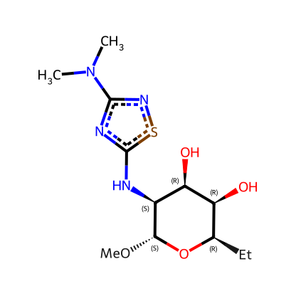 CC[C@H]1O[C@H](OC)[C@@H](Nc2nc(N(C)C)ns2)[C@@H](O)[C@H]1O